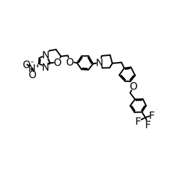 O=[N+]([O-])c1cn2c(n1)OC(COc1ccc(N3CCC(Cc4ccc(OCc5ccc(C(F)(F)F)cc5)cc4)CC3)cc1)CC2